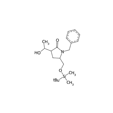 CC(O)C1CC(CO[Si](C)(C)C(C)(C)C)N(Cc2ccccc2)C1=O